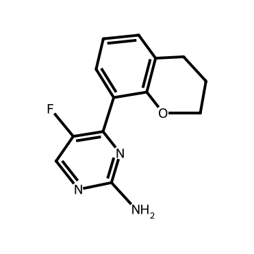 Nc1ncc(F)c(-c2cccc3c2OCCC3)n1